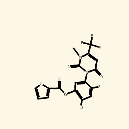 Cn1c(C(F)(F)F)cc(=O)n(-c2cc(OC(=O)c3ccco3)c(Cl)cc2F)c1=O